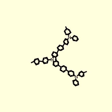 Cc1ccc(-c2ccc(-n3c4ccc(-c5ccc(-c6ccc(N(c7ccccc7)c7ccc(C)cc7)cc6)cc5)cc4c4cc(-c5ccc(-c6ccc(N(c7ccccc7)c7ccc(C)cc7)cc6)cc5)ccc43)cc2)cc1